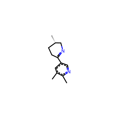 Cc1cc(C2=NC[C@@H](C)CC2)cnc1C